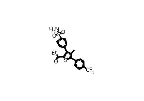 CCC(=O)c1sc(-c2ccc(C(F)(F)F)cc2)c(C)c1-c1ccc(S(N)(=O)=O)cc1